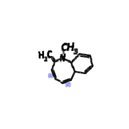 C=C1/C=C\C=C/C2C=CC=CC2N1C